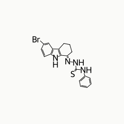 S=C(NN=C1CCCc2c1[nH]c1ccc(Br)cc21)Nc1ccccc1